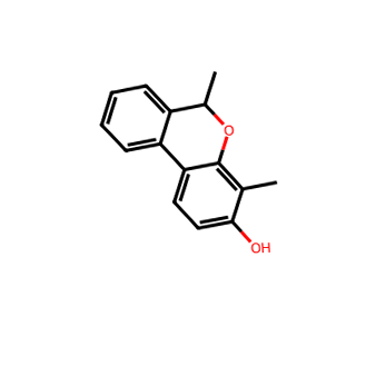 Cc1c(O)ccc2c1OC(C)c1ccccc1-2